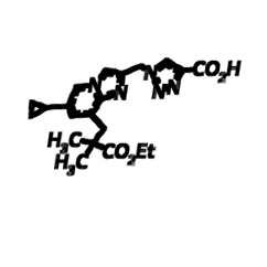 CCOC(=O)C(C)(C)Cc1cc(C2CC2)cn2cc(Cn3cc(C(=O)O)nn3)nc12